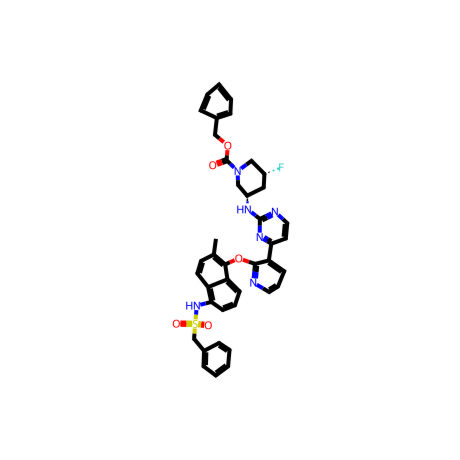 Cc1ccc2c(NS(=O)(=O)Cc3ccccc3)cccc2c1Oc1ncccc1-c1ccnc(N[C@H]2C[C@@H](F)CN(C(=O)OCc3ccccc3)C2)n1